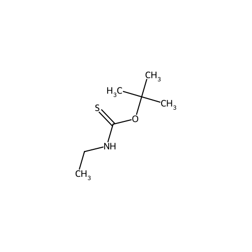 CCNC(=S)OC(C)(C)C